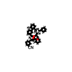 N#Cc1cccc(-c2nc(-c3ccc4sc5cccc(-c6nc(-c7ccccc7)nc(-c7ccccc7)n6)c5c4c3)nc3c2sc2ccccc23)c1